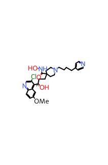 COc1ccc2ncc(Cl)c([C@H](O)CCC3(C(=O)NO)CCN(CCCCc4ccncc4)CC3)c2c1